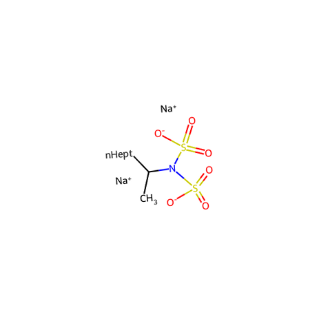 CCCCCCCC(C)N(S(=O)(=O)[O-])S(=O)(=O)[O-].[Na+].[Na+]